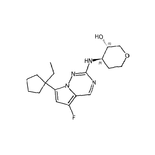 CCC1(c2cc(F)c3cnc(N[C@@H]4CCOC[C@H]4O)nn23)CCCC1